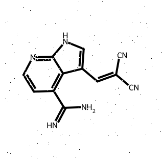 N#CC(C#N)=Cc1c[nH]c2nccc(C(=N)N)c12